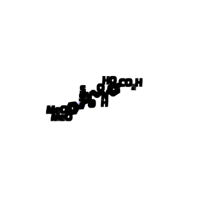 COc1ccc(/C=C2\SC(=S)N(CCC(=O)Nc3ccc(C(=O)O)c(O)c3)C2=O)cc1OC